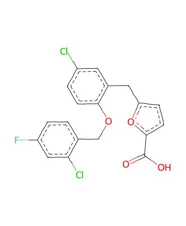 O=C(O)c1ccc(Cc2cc(Cl)ccc2OCc2ccc(F)cc2Cl)o1